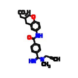 C#CCN(C)C(=N)c1ccc(C(=O)Nc2ccc3c(c2)CC(CC(=O)O)CO3)cc1